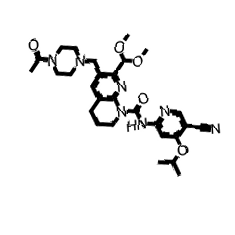 COC(OC)c1nc2c(cc1CN1CCN(C(C)=O)CC1)CCCN2C(=O)Nc1cc(OC(C)C)c(C#N)cn1